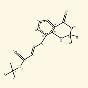 CC(C)(C)OC(=O)/C=C/Cc1cccc2c1OC(C)(C)OC2=O